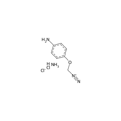 Cl.N.N#[N+]COc1ccc(N)cc1.[Cl-]